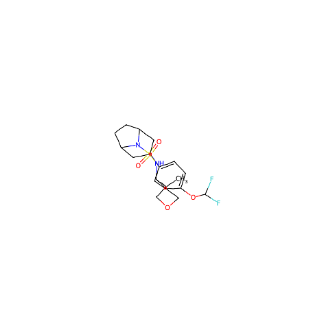 CC1(CNC2CC3CCC(C2)N3S(=O)(=O)c2ccc(OC(F)F)cc2)COC1